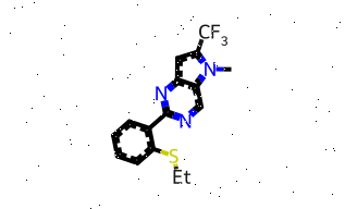 CCSc1ccccc1-c1ncc2c(cc(C(F)(F)F)n2C)n1